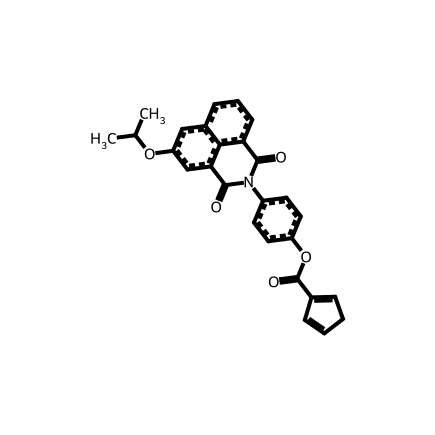 CC(C)Oc1cc2c3c(cccc3c1)C(=O)N(c1ccc(OC(=O)C3=CCC=C3)cc1)C2=O